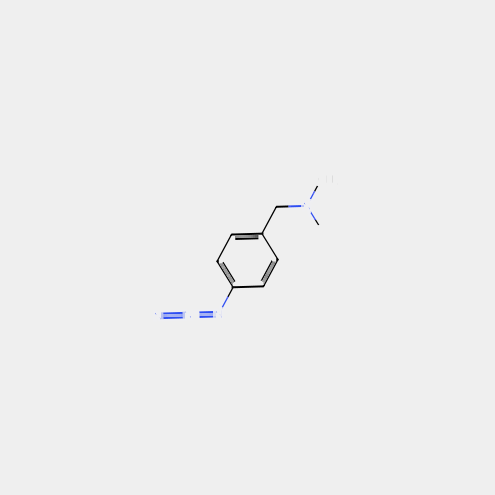 CN(C)Cc1ccc(N=[N+]=[N-])cc1